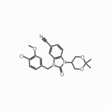 COc1cc(Cn2c(=O)n(C3COC(C)(C)OC3)c3ccc(C#N)cc32)ccc1Cl